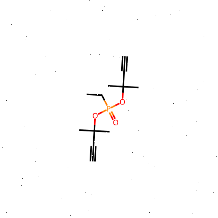 C#CC(C)(C)OP(=O)(CC)OC(C)(C)C#C